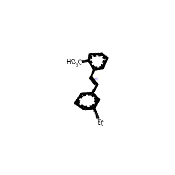 CCc1cccc(/C=C/c2ccccc2C(=O)O)c1